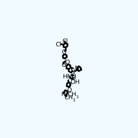 Cc1nccc(Oc2ccc(C[C@H](NC(=O)[C@@H]3Cc4cc5c(cc4CN3Cc3ccccn3)O[C@@H](c3ccc(OCc4ccc(Cl)c(Cl)c4)cc3)CO5)C(=O)O)cc2)c1C